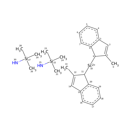 CC1=Cc2ccccc2[CH]1[Sc+2][CH]1C(C)=Cc2ccccc21.C[Si](C)(C)[NH-].C[Si](C)(C)[NH-]